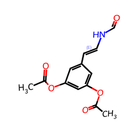 CC(=O)Oc1cc(/C=C/NC=O)cc(OC(C)=O)c1